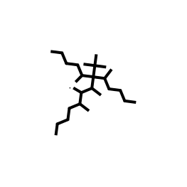 [CH2]C(C(C)CCCC)C(C)C(C(C)CCCC)(C(C)CCCC)C(C)(C)C